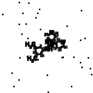 Cc1cc(C)cc(NC2=N[N+]3(c4cccnc4)C=CN=CC3=N2)c1